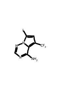 Nc1ncnn2c(I)cc(C(F)(F)F)c12